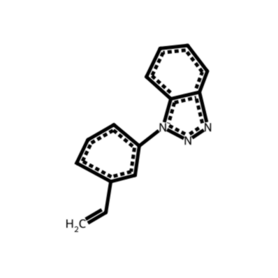 C=Cc1cccc(-n2nnc3ccccc32)c1